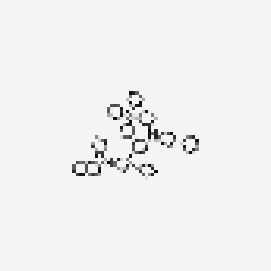 c1ccc(-c2ccc(N(c3ccc(-c4cc(-n5c6ccccc6c6c7ccccc7ccc65)ccc4-c4ccccc4)cc3)c3cccc([Si](c4ccccc4)(c4ccccc4)c4ccccc4)c3)cc2)cc1